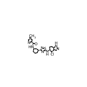 Cn1cnc(C(=O)Nc2cccc(-c3nsc(Nc4ccc5[nH]ncc5c4Cl)n3)c2)c1